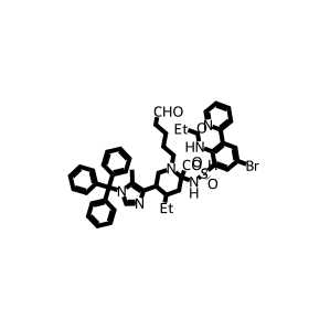 CCC(=O)Nc1c(-c2ccccn2)cc(Br)cc1S(=O)(=O)NC1(C(=O)O)CC(CC)C(c2ncn(C(c3ccccc3)(c3ccccc3)c3ccccc3)c2C)CN1CCCCC=O